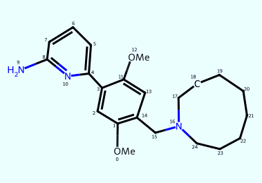 COc1cc(-c2cccc(N)n2)c(OC)cc1CN1CCCCCCCC1